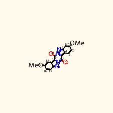 COc1ccc2c(c1)nn1c(=O)c3c4cc(OC)ccc4nn3c(=O)c21